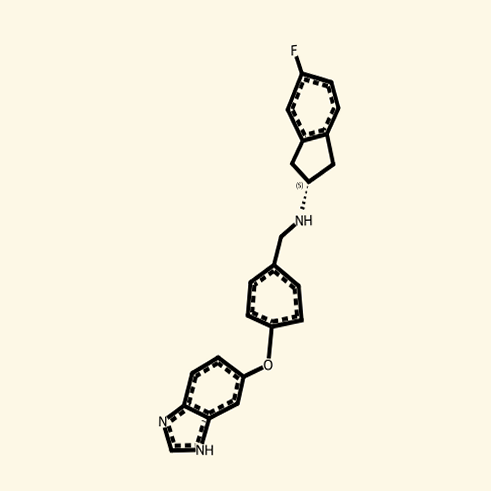 Fc1ccc2c(c1)C[C@@H](NCc1ccc(Oc3ccc4nc[nH]c4c3)cc1)C2